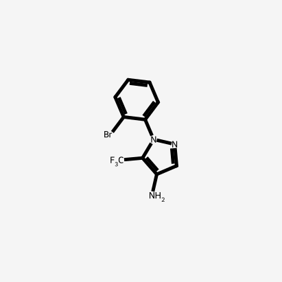 Nc1cnn(-c2ccccc2Br)c1C(F)(F)F